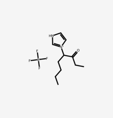 CCCCC(C(=O)CC)[n+]1cc[nH]c1.F[B-](F)(F)F